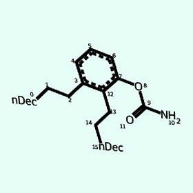 CCCCCCCCCCCCc1cccc(OC(N)=O)c1CCCCCCCCCCCC